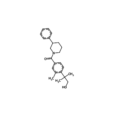 Cc1cc(C(=O)N2CCCC(c3ccccc3)C2)ccc1C(C)(C)CO